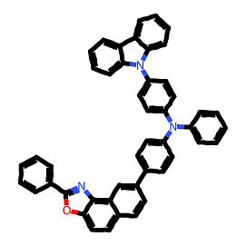 c1ccc(-c2nc3c(ccc4ccc(-c5ccc(N(c6ccccc6)c6ccc(-n7c8ccccc8c8ccccc87)cc6)cc5)cc43)o2)cc1